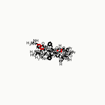 CSCC[C@H](NC(=O)[C@H](CO)NC(=O)[C@H](CS)NC(=O)[C@@H](NC(=O)[C@H](CC(C)C)NC(=O)[C@H](C)NC(=O)CNC(=O)[C@H](Cc1c[nH]c2ccccc12)NC(=O)[C@H](Cc1ccccc1)NC(=O)[C@H](CCCNC(=N)N)NC(=O)[C@H](Cc1ccccc1)NC(=O)[C@H](CCCNC(=N)N)NC(=O)[C@H](CO)NC(=O)[C@@H](N)CO)C(C)C)C(=O)N[C@@H](CC(=O)O)C(=O)O